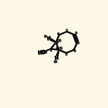 OC1[C@H]2CCC#CCC[C@@H]12